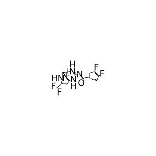 CC(C)(C)N/C(=N/C(=O)c1ccc(F)c(F)c1)Nc1cc(C(F)F)[nH]n1